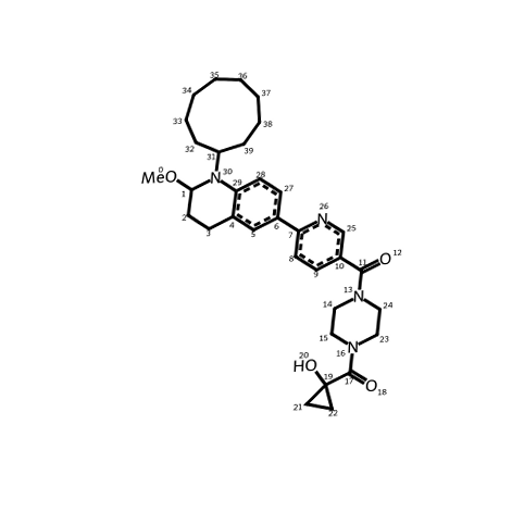 COC1CCc2cc(-c3ccc(C(=O)N4CCN(C(=O)C5(O)CC5)CC4)cn3)ccc2N1C1CCCCCCCC1